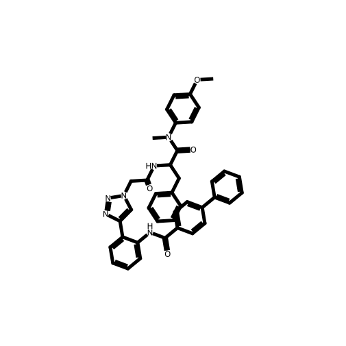 COc1ccc(N(C)C(=O)C(Cc2ccccc2)NC(=O)Cn2cc(-c3ccccc3NC(=O)c3ccc(-c4ccccc4)cc3)nn2)cc1